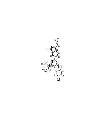 Clc1ccc(Nc2cc(-c3ccc4c(CC5CC5)n[nH]c4c3)nc(N3CCOCC3)n2)cc1